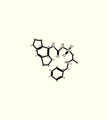 CC(CS(=O)(=O)NC(=O)Nc1c2c(cc3c1CCC3)CCC2)NCc1ccccc1